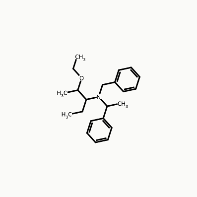 CCOC(C)C(CC)N(Cc1ccccc1)C(C)c1ccccc1